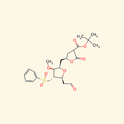 CO[C@@H]1[C@@H](CS(=O)(=O)c2ccccc2)[C@H](CC=O)O[C@@H]1C[C@H]1CC(C(=O)OC(C)(C)C)C(=O)O1